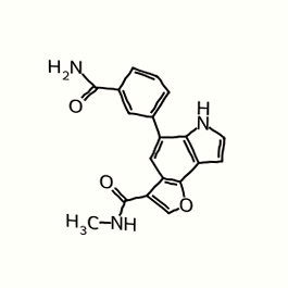 CNC(=O)c1coc2c1cc(-c1cccc(C(N)=O)c1)c1[nH]ccc12